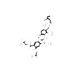 Cn1c(Nc2c(Cl)ccc(CNC(=O)c3sccc3Cl)c2Cl)nc2cc(C(=O)NCC(F)(F)F)c(OCC(F)F)cc21